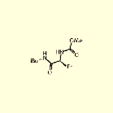 CC[C@@H](C)NC(=O)[C@@H](NC(=O)OC)C(C)C